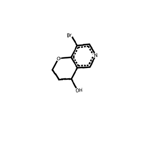 OC1CCOc2c(Br)cncc21